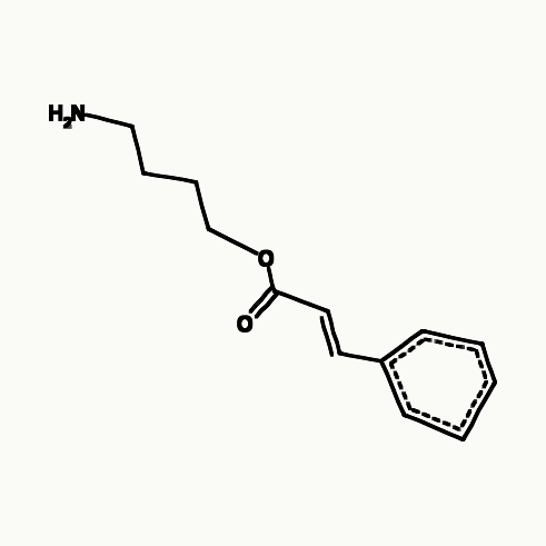 NCCCCOC(=O)/C=C/c1ccccc1